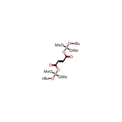 CCCCO[Si](OC)(OC)OC(=O)/C=C/C(=O)O[Si](OC)(OC)OCCCC